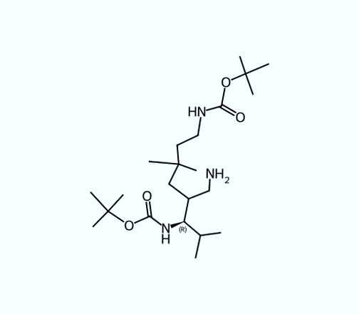 CC(C)[C@@H](NC(=O)OC(C)(C)C)C(CN)CC(C)(C)CCNC(=O)OC(C)(C)C